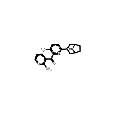 Nc1ncccc1C(=O)c1nc(N2CC3CCC(C2)N3)ccc1C(F)(F)F